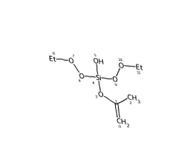 C=C(C)O[Si](O)(OOCC)OOCC